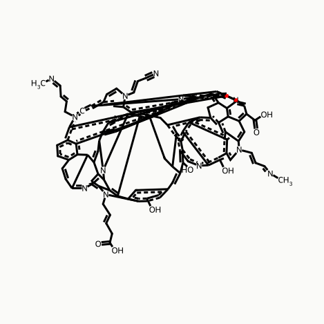 C/N=C\C=C\Cn1cc2c3c4c(cc5c6c7c8c9c(n-2c2c%10cc%11c%12c(ccc%11c21)C=C/C1=N/C2=C%11C(=C/C%13/C(=C/9%10)C9=NC%10/C%14=C%15\Cc%16c%17c%18c(cnc%19c(O)c%20c%21c%22c%23c(c%16c%21c%19%18)C/C(=C\98)C8=C%23C(=C(C(=O)O)C(=N5)C87)/C=C\%22N(/C=C/C=N/C)C=%20)=C(O)/C(=C/c5cc(O)c7c(c5)C%14=C(C(=C2)N7C/C=C/CC(=O)O)C%11N%10%13)C%17C%15)/C1%12)C46)N(/C=C/C#N)C=C3